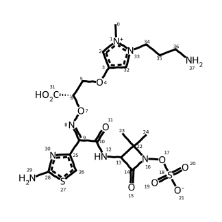 C[n+]1cc(OC[C@H](O/N=C(\C(=O)NC2C(=O)N(OS(=O)(=O)[O-])C2(C)C)c2csc(N)n2)C(=O)O)cn1CCCN